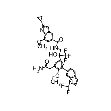 CCOc1c(CC(N)=O)cc([C@@](O)(CNC(=O)c2cc(OC)c3nn(C4CC4)cc3c2)C(F)(F)F)nc1-c1ccc2ccn(C(F)F)c2c1